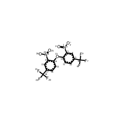 O=[N+]([O-])c1cc(C(F)(F)F)ccc1Oc1ccc(C(F)(F)F)cc1[N+](=O)[O-]